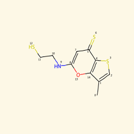 Cc1csc2c(=S)cc(NCCS)oc12